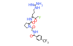 N=C(N)NCCC[C@H](NC(=O)[C@@H]1CCCN1C(=O)CNC(=O)c1ccc(C(F)(F)F)cc1)C(=O)CF